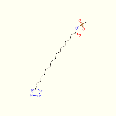 CS(=O)(=O)NC(=O)CCCCCCCCCCCCCCCC1=NNNN1